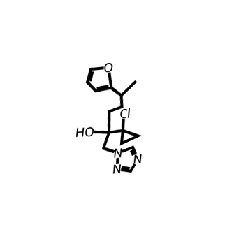 CC(CCC(O)(Cn1cncn1)C1(Cl)CC1)c1ccco1